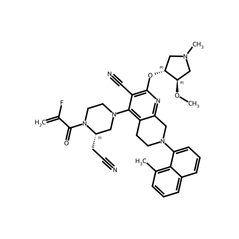 C=C(F)C(=O)N1CCN(c2c(C#N)c(O[C@@H]3CN(C)C[C@H]3OC)nc3c2CCN(c2cccc4cccc(C)c24)C3)C[C@@H]1CC#N